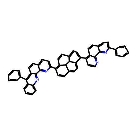 C1=CC2=C(c3ccc4ccc5c(-c6ccccc6)c6ccccc6nc5c4n3)C=CC3=CC=C4C(c5ccnc6c5ccc5ccc(-c7ccccc7)nc56)=CC=C1C4C32